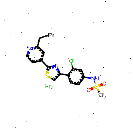 CC(C)Cc1cc(-c2nc(-c3ccc(NS(=O)(=O)C(F)(F)F)cc3Cl)cs2)ccn1.Cl